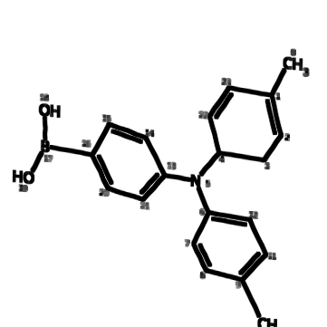 CC1=CCC(N(c2ccc(C)cc2)c2ccc(B(O)O)cc2)C=C1